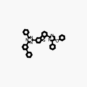 c1ccc(Oc2cnc(-c3cccc4c3sc3ccc(-c5nc(-c6ccccc6)nc(-c6cccc(-c7ccccc7)c6)n5)cc34)nc2-c2ccccc2)cc1